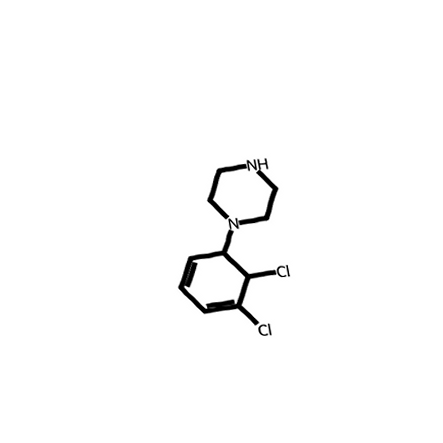 ClC1=CC=CC(N2CCNCC2)C1Cl